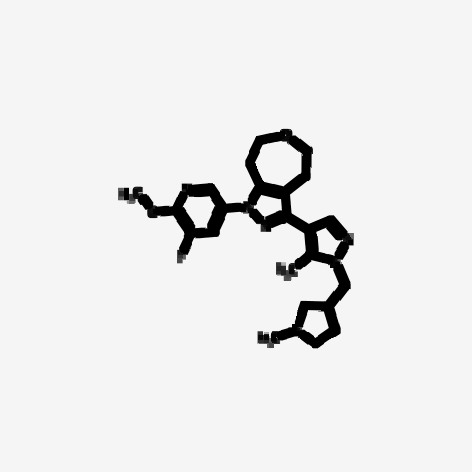 COc1ncc(-n2nc(-c3cnn(CC4CCN(C)C4)c3C)c3c2CCOCC3)cc1F